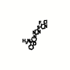 N[C@@H]1c2ccccc2OC12CCN(c1cnc(Sc3ccnc(Cl)c3F)cn1)CC2